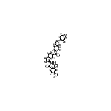 COc1ccc(C(=O)N[C@@H]2CCc3ccc(C(=O)N4CCC5(CC4)CCN(c4ccncc4)C5)cc32)c(Cl)c1